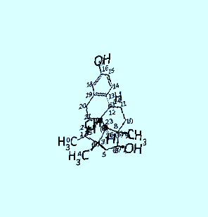 CC(C)[C@@]1(C)C[C@H](O)[C@@]2(C)CC[C@@H]3c4ccc(O)cc4CC[C@H]3[C@@H]21